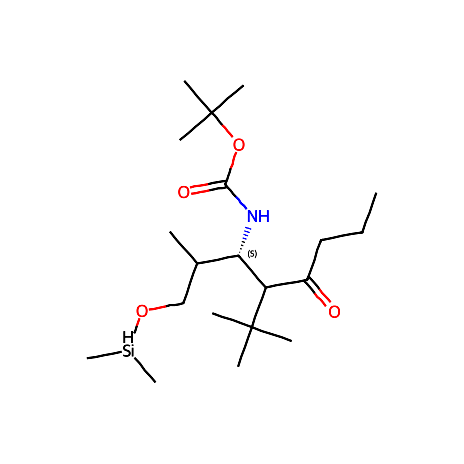 CCCC(=O)C([C@@H](NC(=O)OC(C)(C)C)C(C)CO[SiH](C)C)C(C)(C)C